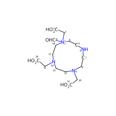 O=C[N+]1(CC(=O)O)CCNCCN(CC(=O)O)CCN(CC(=O)O)CC1